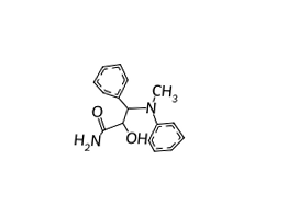 CN(c1ccccc1)C(c1ccccc1)C(O)C(N)=O